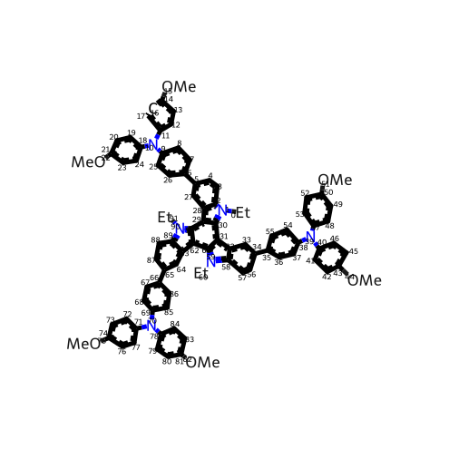 CCn1c2ccc(-c3ccc(N(c4ccc(OC)cc4)c4ccc(OC)cc4)cc3)cc2c2c1c1c3cc(-c4ccc(N(c5ccc(OC)cc5)c5ccc(OC)cc5)cc4)ccc3n(CC)c1c1c3cc(-c4ccc(N(c5ccc(OC)cc5)c5ccc(OC)cc5)cc4)ccc3n(CC)c21